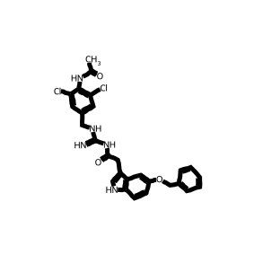 CC(=O)Nc1c(Cl)cc(CNC(=N)NC(=O)Cc2c[nH]c3ccc(OCc4ccccc4)cc23)cc1Cl